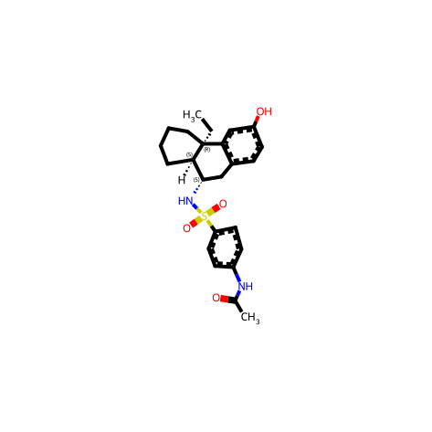 CC[C@@]12CCCC[C@@H]1[C@@H](NS(=O)(=O)c1ccc(NC(C)=O)cc1)Cc1ccc(O)cc12